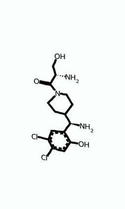 N[C@@H](CO)C(=O)N1CCC([C@@H](N)c2cc(Cl)c(Cl)cc2O)CC1